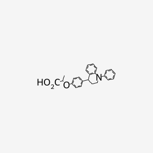 CC(Oc1ccc(C2CCN(c3ccccc3)c3ccccc32)cc1)C(=O)O